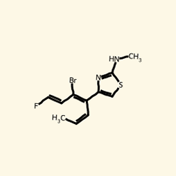 C\C=C/C(=C(Br)\C=C\F)c1csc(NC)n1